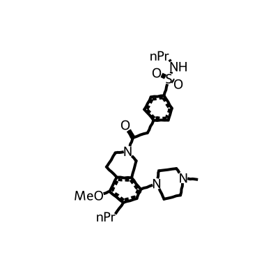 CCCNS(=O)(=O)c1ccc(CC(=O)N2CCc3c(c(N4CCN(C)CC4)cc(CCC)c3OC)C2)cc1